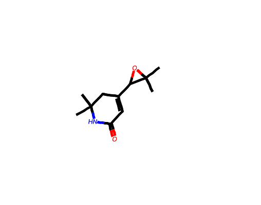 CC1(C)CC(C2OC2(C)C)=CC(=O)N1